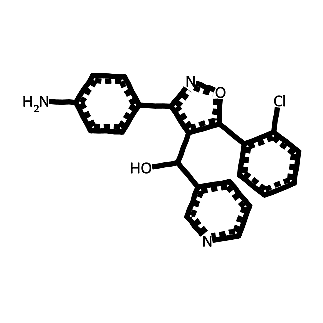 Nc1ccc(-c2noc(-c3ccccc3Cl)c2C(O)c2cccnc2)cc1